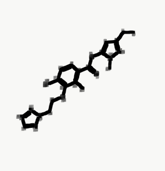 CCc1cc(OC(=O)c2ccc(Br)c(OCCn3ncnn3)c2C)n(C)n1